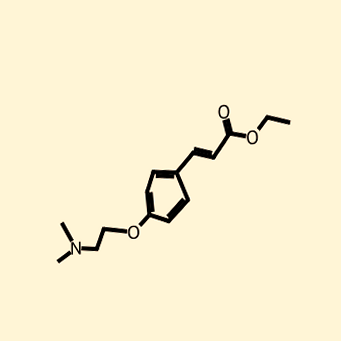 CCOC(=O)/C=C/c1ccc(OCCN(C)C)cc1